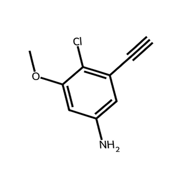 C#Cc1cc(N)cc(OC)c1Cl